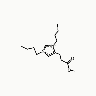 CCCCn1cc(CCC(=O)OC)[n+](CCCC)c1